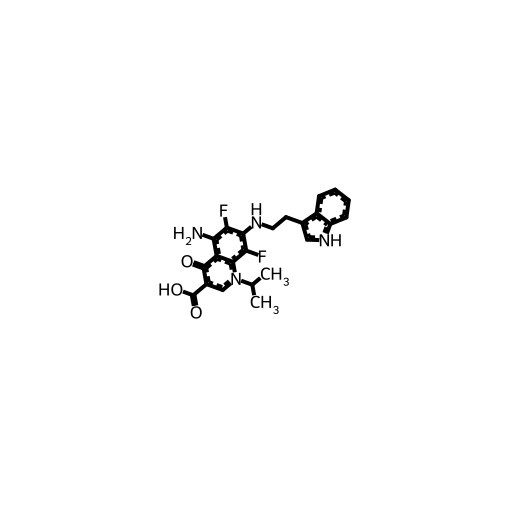 CC(C)n1cc(C(=O)O)c(=O)c2c(N)c(F)c(NCCc3c[nH]c4ccccc34)c(F)c21